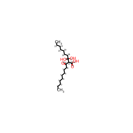 CCCCCCCCCC(=O)C(C(=O)O)C(O)(O)CCCCCCC